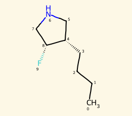 CCCC[C@H]1CNC[C@H]1F